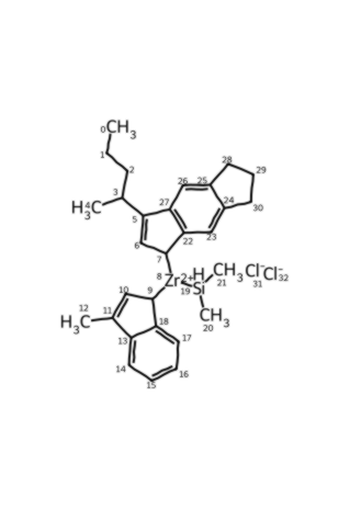 CCCC(C)C1=C[CH]([Zr+2]([CH]2C=C(C)c3ccccc32)[SiH](C)C)c2cc3c(cc21)CCC3.[Cl-].[Cl-]